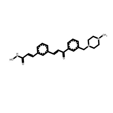 CN1CCN(Cc2cccc(C(=O)/C=C/c3cccc(/C=C/C(=O)NO)c3)c2)CC1